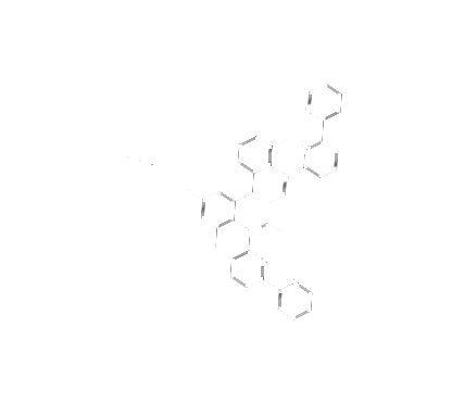 CC=[N+](c1cccc(-c2ccccn2)n1)c1c(C)cc(C)cc1Cc1cc(C)cc(C)c1[N+](=CC)c1cccc(-c2ccccn2)n1.[Br-].[Br-].[Br-].[Br-].[Co].[Co]